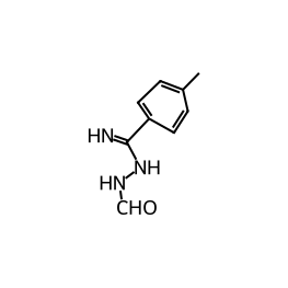 Cc1ccc(C(=N)NNC=O)cc1